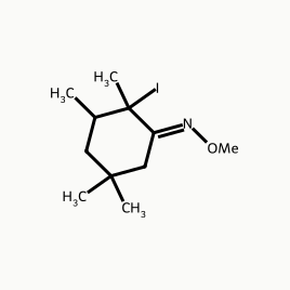 CO/N=C1\CC(C)(C)CC(C)C1(C)I